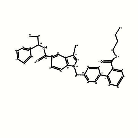 CCCCOC(=O)c1ccccc1-c1ccc(Cn2cc(C)c3cc(C(=O)NC(CC)c4ccccc4)ccc32)cc1